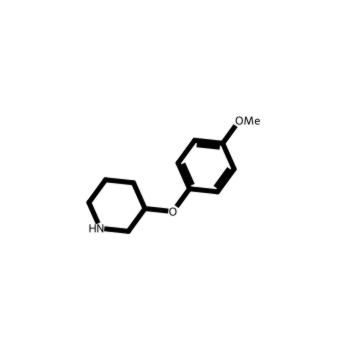 COc1ccc(OC2CCCNC2)cc1